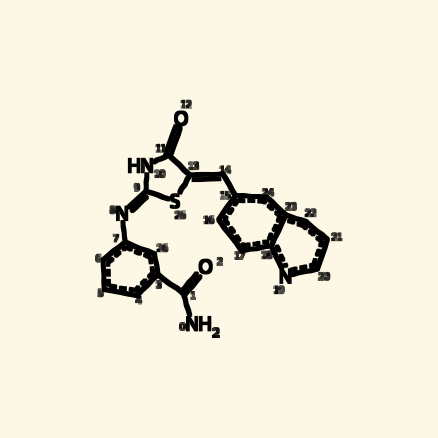 NC(=O)c1cccc(/N=C2/NC(=O)/C(=C/c3ccc4ncccc4c3)S2)c1